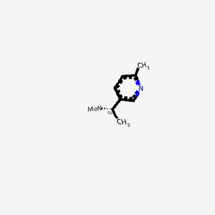 CN[C@@H](C)c1ccc(C)nc1